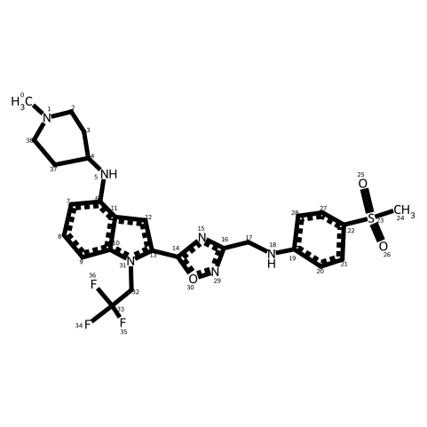 CN1CCC(Nc2cccc3c2cc(-c2nc(CNc4ccc(S(C)(=O)=O)cc4)no2)n3CC(F)(F)F)CC1